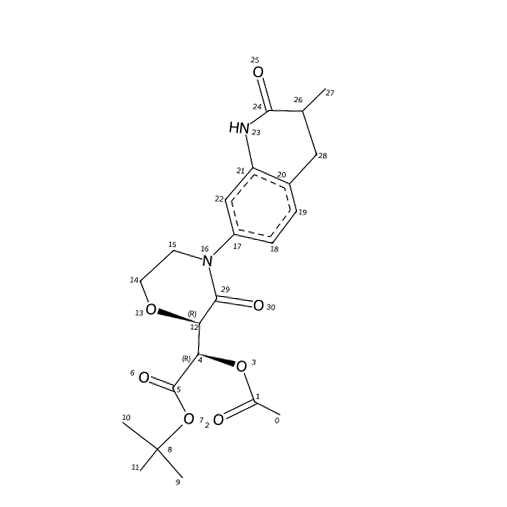 CC(=O)O[C@@H](C(=O)OC(C)(C)C)[C@H]1OCCN(c2ccc3c(c2)NC(=O)C(C)C3)C1=O